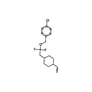 C=CC1CCC(CC(F)(F)OCc2ccc(CC)cc2)CC1